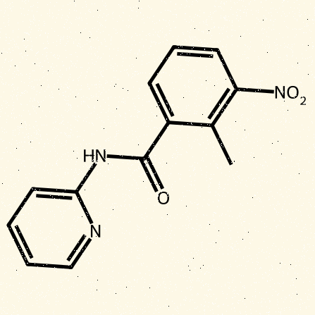 Cc1c(C(=O)Nc2ccccn2)cccc1[N+](=O)[O-]